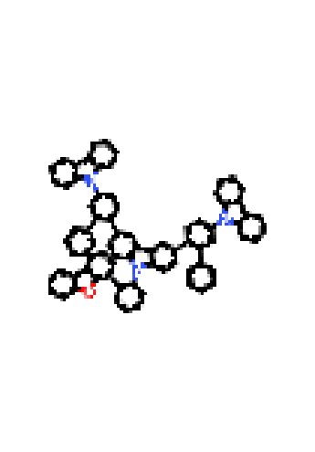 c1ccc(-c2cc(-n3c4ccccc4c4ccccc43)ccc2-c2ccc3c(c2)c2cc(-c4ccc(-n5c6ccccc6c6ccccc65)cc4-c4ccccc4)ccc2n3-c2ccccc2-c2cccc3c2oc2ccccc23)cc1